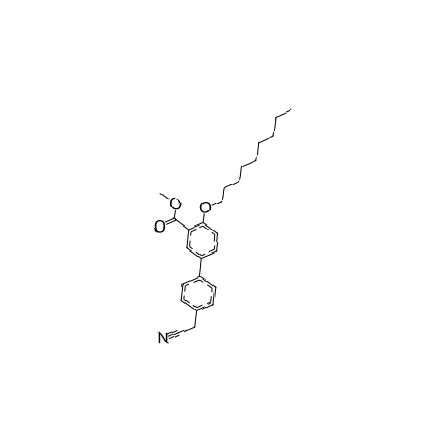 CCCCCCCCCOc1ccc(-c2ccc(CC#N)cc2)cc1C(=O)OC